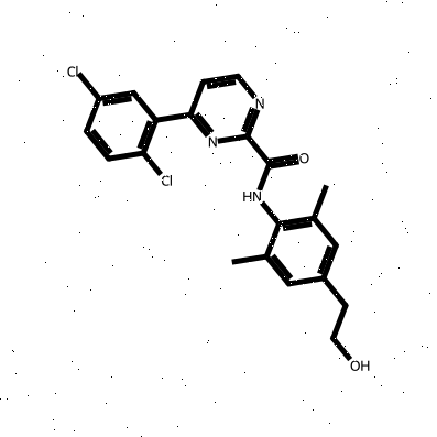 Cc1cc(CCO)cc(C)c1NC(=O)c1nccc(-c2cc(Cl)ccc2Cl)n1